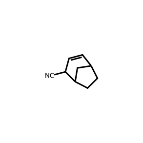 N#CC1C=CC2CCC1C2